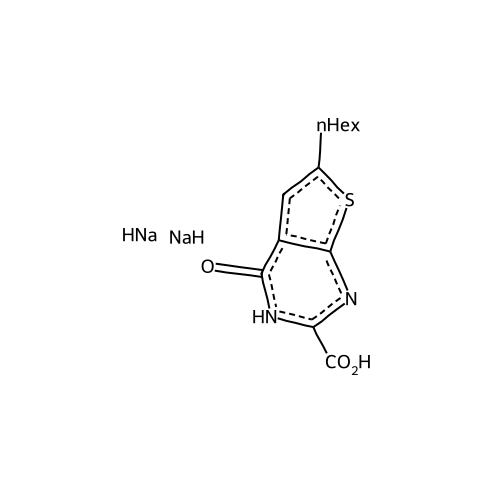 CCCCCCc1cc2c(=O)[nH]c(C(=O)O)nc2s1.[NaH].[NaH]